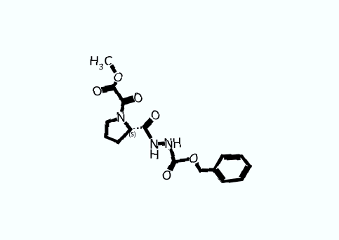 COC(=O)C(=O)N1CCC[C@H]1C(=O)NNC(=O)OCc1ccccc1